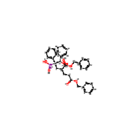 O=C(CCC(CC(c1ccccc1)(C(O)c1ccccc1)[PH](=O)O)C(=O)OCc1ccccc1)OCc1ccccc1